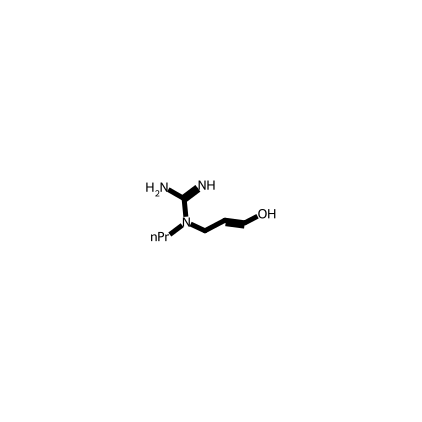 CCCN(CC=CO)C(=N)N